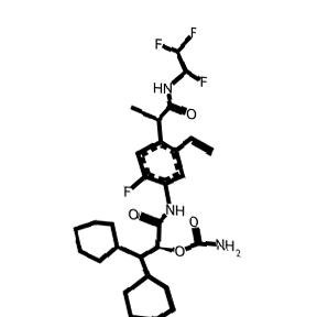 C=Cc1cc(NC(=O)[C@@H](OC(N)=O)C(C2CCCCC2)C2CCCCC2)c(F)cc1C(C)C(=O)NC(F)C(F)F